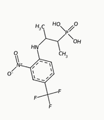 CC(Nc1ccc(C(F)(F)F)cc1[N+](=O)[O-])C(C)P(=O)(O)O